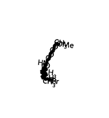 COCC(C)COCCOCCOCCOCCCNC(=O)OC1CCC2(C)C(=CCC3C2CCC2(C)C(C(C)CCCC(C)C)CCC32)C1